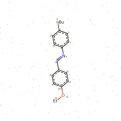 CCCCc1ccc(/N=C/c2ccc(OCC)cc2)cc1